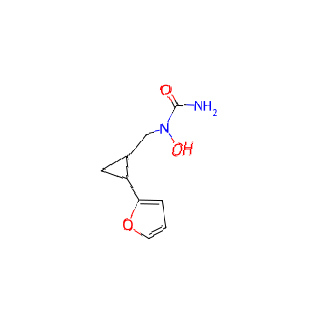 NC(=O)N(O)CC1CC1c1ccco1